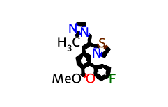 COC(=O)c1ccc(C=C(Cn2ccnc2C)c2nccs2)cc1-c1ccc(F)cc1